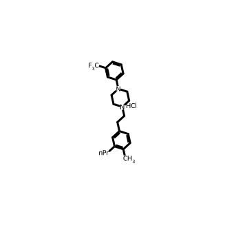 CCCc1cc(CCN2CCN(c3cccc(C(F)(F)F)c3)CC2)ccc1C.Cl